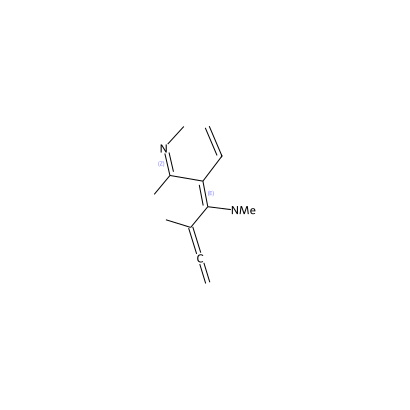 C=C=C(C)/C(NC)=C(C=C)\C(C)=N/C